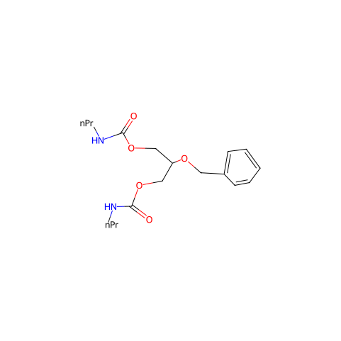 CCCNC(=O)OCC(COC(=O)NCCC)OCc1ccccc1